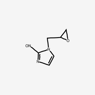 O=Nc1nccn1CC1CO1